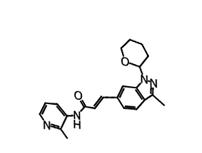 Cc1ncccc1NC(=O)/C=C/c1ccc2c(C)nn(C3CCCCO3)c2c1